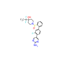 Nc1ncc(-c2ccc(-c3ccccc3[S+]([O-])N3CCC(O)(C(F)(F)C(F)(F)F)CC3)cc2F)cn1